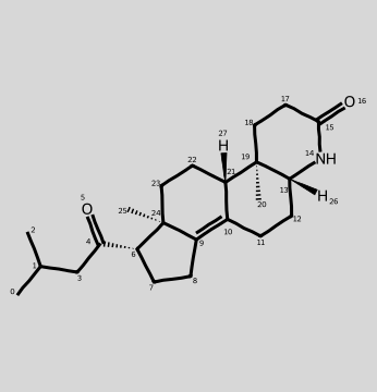 CC(C)CC(=O)[C@H]1CCC2=C3CC[C@H]4NC(=O)CC[C@]4(C)[C@H]3CC[C@@]21C